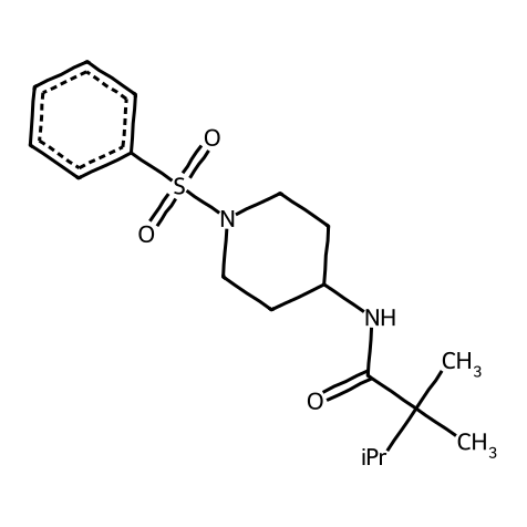 CC(C)C(C)(C)C(=O)NC1CCN(S(=O)(=O)c2ccccc2)CC1